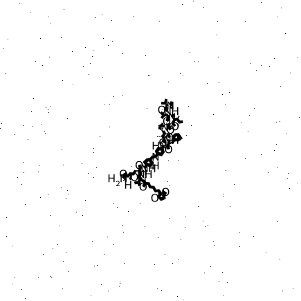 CC[C@H](C)[C@@H]([C@@H](CC(=O)N1CCC[C@H]1[C@H](C=O)[C@@H](C)C(=O)N[C@@H](Cc1ccccc1)C(=O)Nc1ccc(NCc2ccc(NC(=O)[C@H](CCCNC(N)=O)NC(=O)C(NC(=O)CCCCCN3C(=O)C=CC3=O)C(C)C)cc2)cc1)OC)N(C)C(=O)[C@@H](NC(=O)[C@H](C(C)C)N(C)C)C(C)C